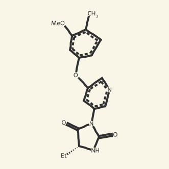 CC[C@H]1NC(=O)N(c2cncc(Oc3ccc(C)c(OC)c3)c2)C1=O